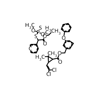 CC1(C)C(C=C(Cl)Cl)C1C(=O)OCc1cccc(Oc2ccccc2)c1.CCOC(=O)C(SP(=S)(OC)OC)c1ccccc1